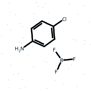 FB(F)F.Nc1ccc(Cl)cc1